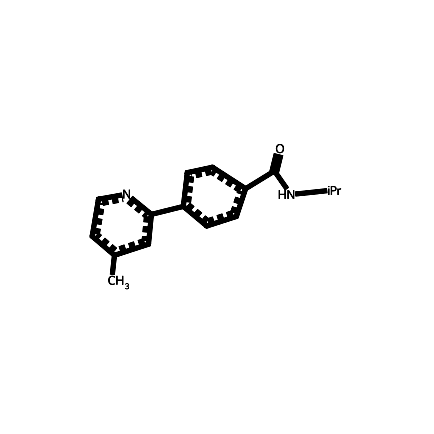 Cc1ccnc(-c2ccc(C(=O)NC(C)C)cc2)c1